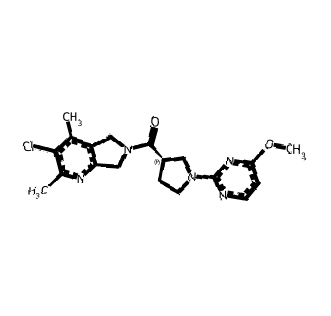 COc1ccnc(N2CC[C@@H](C(=O)N3Cc4nc(C)c(Cl)c(C)c4C3)C2)n1